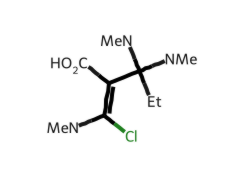 CCC(NC)(NC)C(C(=O)O)=C(Cl)NC